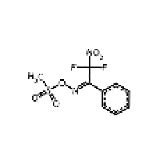 CS(=O)(=O)ON=C(c1ccccc1)C(F)(F)[N+](=O)[O-]